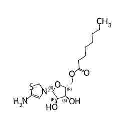 CCCCCCCC(=O)OC[C@H]1O[C@@H](N2C=C(N)SC2)[C@H](O)[C@@H]1O